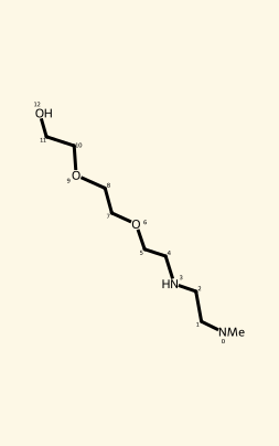 CNCCNCCOCCOCCO